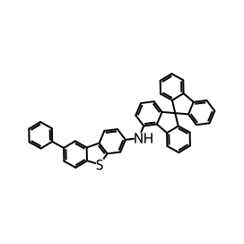 c1ccc(-c2ccc3sc4cc(Nc5cccc6c5-c5ccccc5C65c6ccccc6-c6ccccc65)ccc4c3c2)cc1